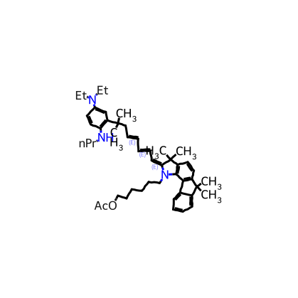 CCCNc1ccc(N(CC)CC)cc1C(C)(C)C/C=C/C=C/C=C1/N(CCCCCCOC(C)=O)c2c(ccc3c2-c2ccccc2C3(C)C)C1(C)C